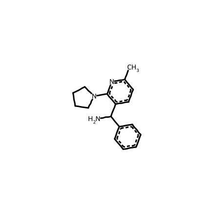 Cc1ccc(C(N)c2ccccc2)c(N2CCCC2)n1